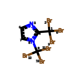 BrC(Br)(Br)c1nccn1C(Br)(Br)Br